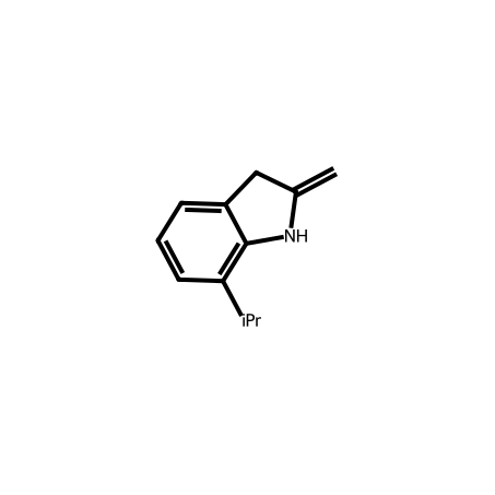 C=C1Cc2cccc(C(C)C)c2N1